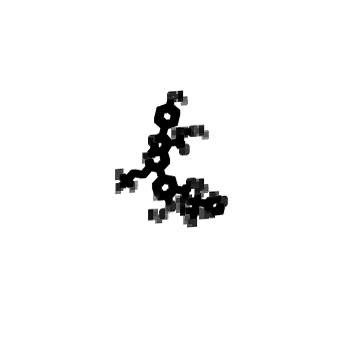 [2H]C([2H])([2H])C(C)(NC(=O)c1cc(-c2cc3c(C(=O)NC)c(-c4ccc(C)cc4)oc3nc2CCC(F)(F)F)cnc1OC)c1ncon1